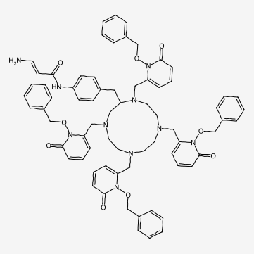 NC=CC(=O)Nc1ccc(CC2CN(Cc3cccc(=O)n3OCc3ccccc3)CCN(Cc3cccc(=O)n3OCc3ccccc3)CCN(Cc3cccc(=O)n3OCc3ccccc3)CCN2Cc2cccc(=O)n2OCc2ccccc2)cc1